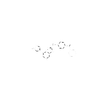 Cn1cc(-c2cncc3nc(Nc4ccc(C(=O)N5CCOCC5)cc4)nn23)cn1